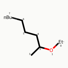 C[CH]OC(C)CCCCCCC